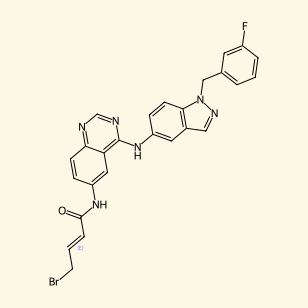 O=C(/C=C/CBr)Nc1ccc2ncnc(Nc3ccc4c(cnn4Cc4cccc(F)c4)c3)c2c1